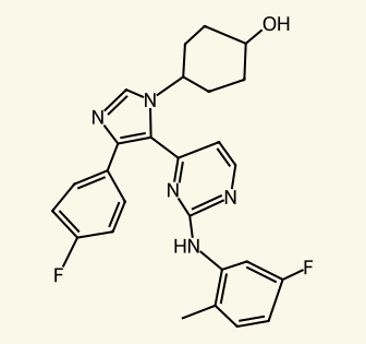 Cc1ccc(F)cc1Nc1nccc(-c2c(-c3ccc(F)cc3)ncn2C2CCC(O)CC2)n1